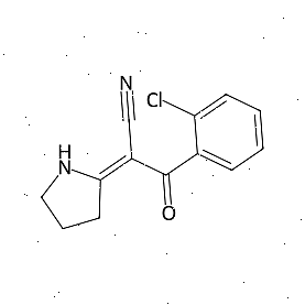 N#CC(C(=O)c1ccccc1Cl)=C1CCCN1